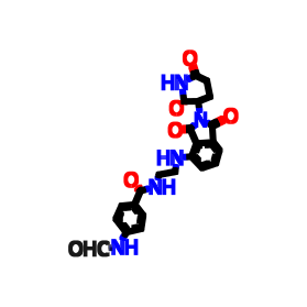 O=CNc1ccc(C(=O)NCCNc2cccc3c2C(=O)N(C2CCC(=O)NC2=O)C3=O)cc1